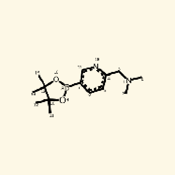 CN(C)Cc1ccc(B2OC(C)(C)C(C)(C)O2)cn1